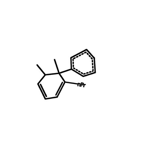 CCCC1=CC=CC(C)C1(C)c1ccccc1